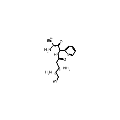 CC[C@H](C)[C@H](N)C(=O)C(NC(=O)C[C@H](N)[C@@H](N)CC(C)C)c1ccccn1